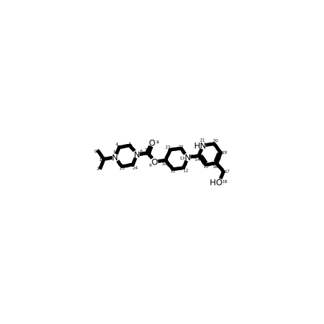 CC(C)N1CCN(C(=O)OC2CCN(C3=CC(CO)=CCN3)CC2)CC1